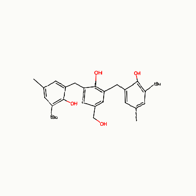 Cc1cc(Cc2cc(CO)cc(Cc3cc(C)cc(C(C)(C)C)c3O)c2O)c(O)c(C(C)(C)C)c1